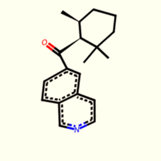 C[C@H]1CCCC(C)(C)[C@H]1C(=O)c1ccc2cnccc2c1